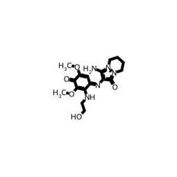 COC1=CC(=Nc2c(N)n3n(c2=O)CCCC3)C(NCCO)=C(OC)C1=O